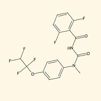 CN(C(=O)NC(=O)c1c(F)cccc1F)c1ccc(OC(F)(F)C(F)F)cc1